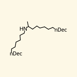 CCCCCCCCCCCCCCCCNC(C)CCCCCCCCCCCCCCCC